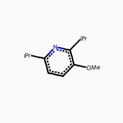 COc1ccc(C(C)C)nc1C(C)C